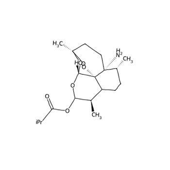 CC(C)C(=O)OC1O[C@@H]2O[C@]3(C)CC[C@@]4(N)[C@H](C)CCC([C@H]1C)[C@@]24OO3